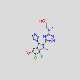 COc1cc2c(-n3ccnc3)c(-c3nc(N(C)CCO)n[nH]3)n(C)c2c(F)c1Cl